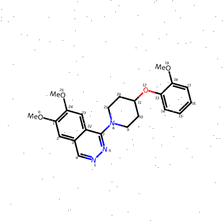 COc1cc2cnnc(N3CCC(Oc4ccccc4OC)CC3)c2cc1OC